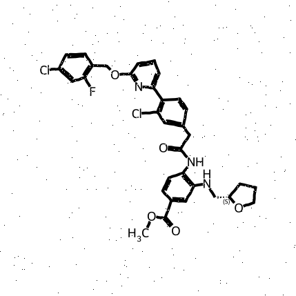 COC(=O)c1ccc(NC(=O)Cc2ccc(-c3cccc(OCc4ccc(Cl)cc4F)n3)c(Cl)c2)c(NC[C@@H]2CCCO2)c1